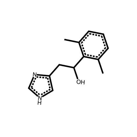 Cc1cccc(C)c1C(O)Cc1c[nH]cn1